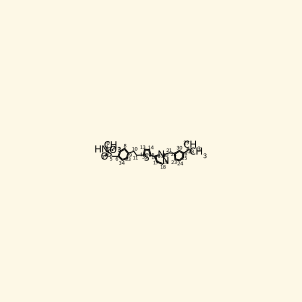 CNS(=O)(=O)Cc1ccc(CCc2ccc(-c3ccnc(Cc4cccc(C(C)C)c4)n3)s2)cc1